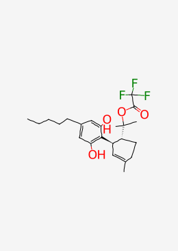 CCCCCc1cc(O)c([C@@H]2C=C(C)CC[C@H]2C(C)(C)OC(=O)C(F)(F)F)c(O)c1